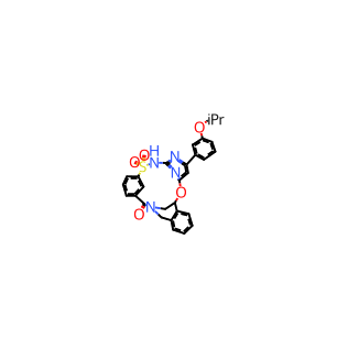 CC(C)Oc1cccc(-c2cc3nc(n2)NS(=O)(=O)c2cccc(c2)C(=O)N2Cc4ccccc4C(C2)O3)c1